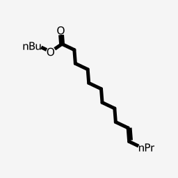 CCCC=CCCCCCCCCC(=O)OCCCC